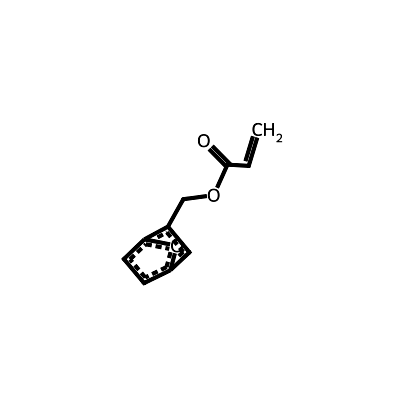 C=CC(=O)OCc1cc2ccc1o2